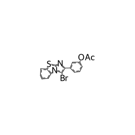 CC(=O)Oc1cccc(-c2nc3sc4ccccc4n3c2Br)c1